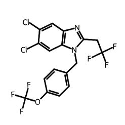 FC(F)(F)Cc1nc2cc(Cl)c(Cl)cc2n1Cc1ccc(OC(F)(F)F)cc1